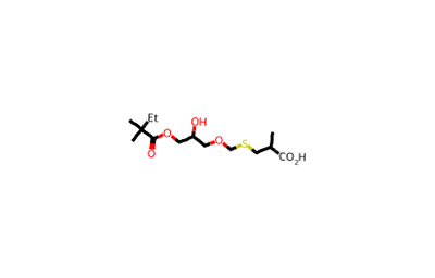 CCC(C)(C)C(=O)OCC(O)COCSCC(C)C(=O)O